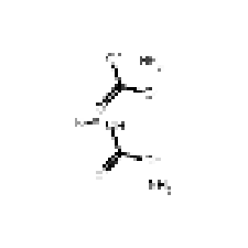 N.N.O=C(O)O.O=C([O-])[O-].[Be+2]